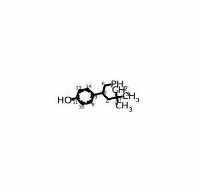 CC(C)(C)CC(CP)c1ccc(O)cc1